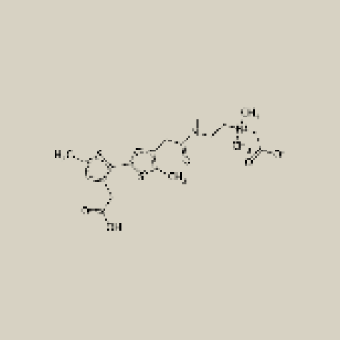 Cc1cc(CC(=O)O)c(-c2cc(CC(=O)NCC[N+](C)(C)CC(=O)[O-])c(C)s2)s1